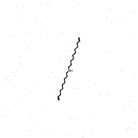 C=CCCCCCCCCCNCCCCCCCCC=C